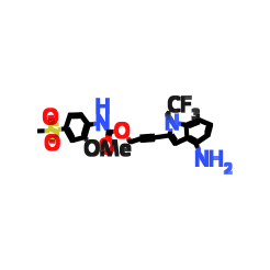 COc1cc(S(C)(=O)=O)ccc1NC(=O)OCC#Cc1cc2c(N)cccc2n1CC(F)(F)F